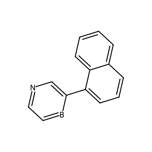 b1ccncc1-c1cccc2ccccc12